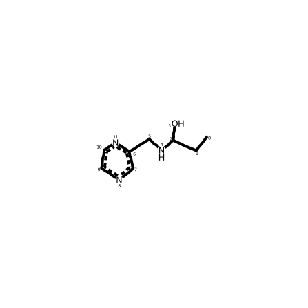 CCC(O)NCc1cnccn1